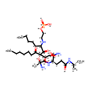 CCCCCCCCCCCCCCCC(=O)[C@@](O[C@@](C)(N)C(=O)N[C@H](CCC(=O)N[C@@H](C)C(=O)O)C(N)=O)(C(=O)C(CCCCCCCCCCCCCC)NCCO[PH](=O)O)[C@@H](O)CO